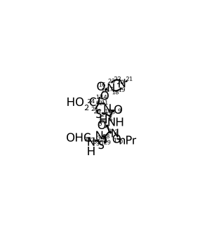 CCCON=C(C(=O)NC1C(=O)N2CC(COC(=O)N3CCN(C)CC3)(C(=O)O)CS[C@H]12)c1csc(NC=O)n1